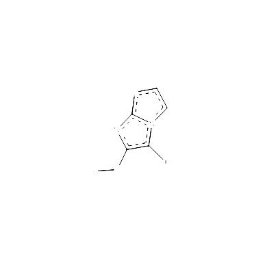 CCC(C)c1c(SC(C)C)nc2sccn12